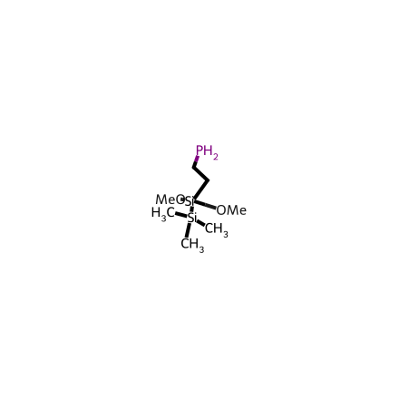 CO[Si](CCP)(OC)[Si](C)(C)C